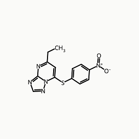 CCc1cc(Sc2ccc([N+](=O)[O-])cc2)n2ncnc2n1